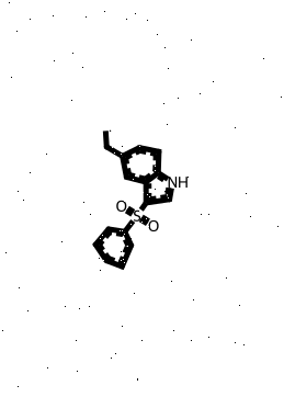 [CH2]Cc1ccc2[nH]cc(S(=O)(=O)c3ccccc3)c2c1